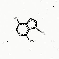 COc1ncc(Br)c2ccn(P)c12